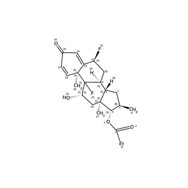 CCC(=O)O[C@H]1[C@H](C)C[C@H]2[C@@H]3C[C@H](F)C4=CC(=O)C=C[C@]4(C)C3(F)[C@@H](O)C[C@@]21C